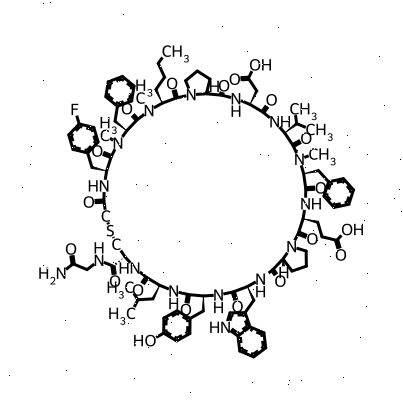 CCCC[C@H]1C(=O)N2CCC[C@@H]2C(=O)N[C@@H](CC(=O)O)C(=O)N[C@@H](C(C)C)C(=O)N(C)[C@@H](Cc2ccccc2)C(=O)N[C@@H](CCC(=O)O)C(=O)N2CCC[C@@H]2C(=O)N[C@@H](Cc2c[nH]c3ccccc23)C(=O)N[C@@H](Cc2ccc(O)cc2)C(=O)N[C@@H](CC(C)C)C(=O)N[C@H](C(=O)NCC(N)=O)CSCC(=O)N[C@@H](Cc2ccc(F)cc2)C(=O)N(C)[C@@H](Cc2ccccc2)C(=O)N1C